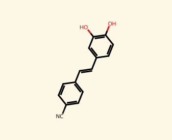 N#Cc1ccc(C=Cc2ccc(O)c(O)c2)cc1